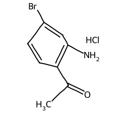 CC(=O)c1ccc(Br)cc1N.Cl